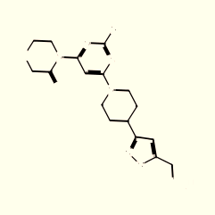 Nc1nc(N2CCC(c3cc(CC(=O)O)[nH]n3)CC2)cc(N2CCOCC2=O)n1